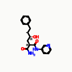 NC(=O)[C@@H](C[C@@H](O)[CH]Cc1ccccc1)C(=O)Nc1cccnc1